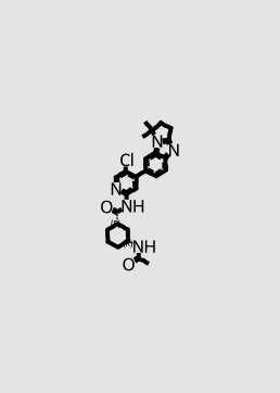 CC(=O)N[C@@H]1CCC[C@H](C(=O)Nc2cc(-c3ccc4nc5n(c4c3)C(C)(C)CC5)c(Cl)cn2)C1